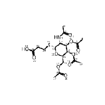 CC(=O)N[C@@H]1[C@@H](OC(C)=O)[C@@H](OC(C)=O)[C@@H](COC(C)=O)O[C@@H]1SCCC(=O)O